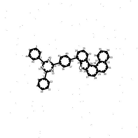 c1ccc(-c2nc(-c3ccccc3)nc(-c3ccc(-c4cccc5c4oc4ccc6ccc7ccccc7c6c45)cc3)n2)cc1